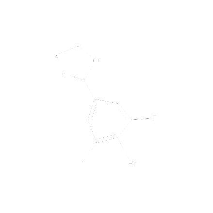 Fc1cc(C2OCCO2)cc(F)c1Br